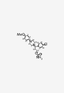 COc1ccc(N2CCN(C(CCOC(N)=O)c3ccc(Cl)cc3)CC2)cc1